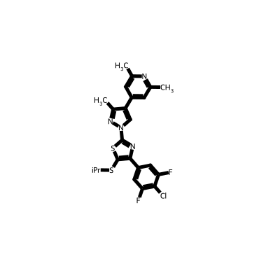 Cc1cc(-c2cn(-c3nc(-c4cc(F)c(Cl)c(F)c4)c(SC(C)C)s3)nc2C)cc(C)n1